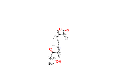 CC[C@@H]1C(=O)OC=C1[C@@H](C)C/C(C)=C/[C@@H](C)C(=O)[C@@H](C)[C@H](O)[C@H](C)CC